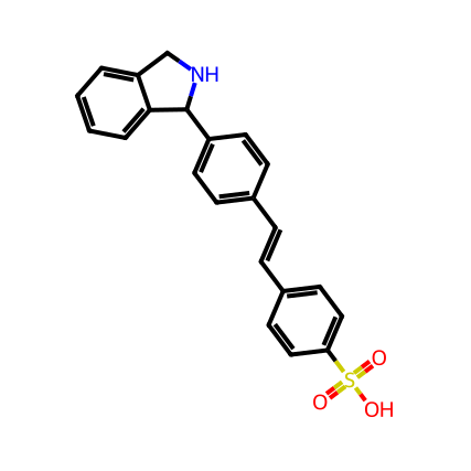 O=S(=O)(O)c1ccc(C=Cc2ccc(C3NCc4ccccc43)cc2)cc1